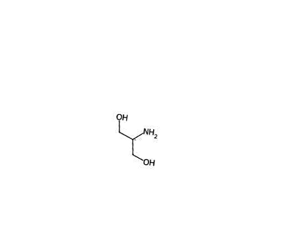 N[C](CO)CO